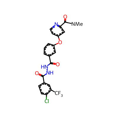 CNC(=O)c1cc(Oc2cccc(C(=O)NNC(=O)c3ccc(Cl)c(C(F)(F)F)c3)c2)ccn1